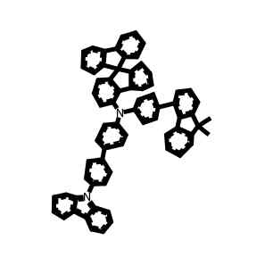 CC1(C)c2ccccc2-c2c(-c3ccc(N(c4ccc(-c5ccc(-n6c7ccccc7c7ccccc76)cc5)cc4)c4cccc5c4-c4ccccc4C54c5ccccc5-c5ccccc54)cc3)cccc21